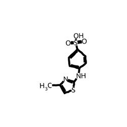 Cc1csc(Nc2ccc(S(=O)(=O)O)cc2)n1